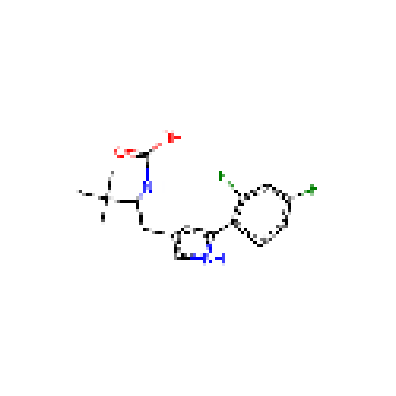 CC(C)(C)C(Cc1c[nH]c(-c2ccc(F)cc2F)c1)NC(=O)O